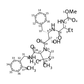 CCC(NC(=O)OC)C(=O)N[C@@H](Cc1ccccc1)[C@H](O)C(=O)N1CSC(C)(C)C1C(=O)NCc1ccccc1C